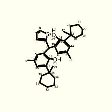 Cc1cc(C(c2cccs2)c2cc(C)cc(C3(C)CCCCC3)c2O)c(O)c(C2(C)CCCCC2)c1